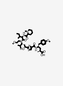 CCC(C)C(NC(=O)C1CCCCN1C)C(=O)N(CCOC)[C@H](C[C@@H](O)c1nc(C(=O)N[C@@H](Cc2ccc(OC)cc2)C[C@H](C)C(=O)O)cs1)C(C)C